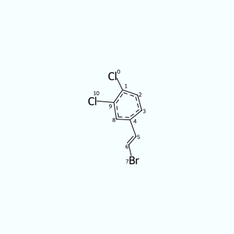 Clc1ccc(C=CBr)cc1Cl